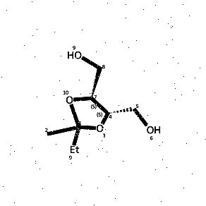 CCC1(C)O[C@@H](CO)[C@H](CO)O1